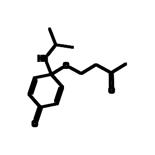 CC(=O)CCOC1(NC(C)C)C=CC(=O)C=C1